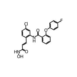 O=C(C=Cc1ccc(Cl)cc1NC(=O)c1ccccc1Oc1ccc(F)cc1)NO